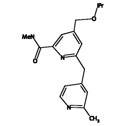 CNC(=O)c1cc(COC(C)C)cc(Cc2ccnc(C)c2)n1